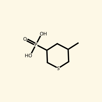 CC1CSCC(P(=O)(O)O)C1